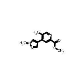 COC(=O)c1cc(-c2cnn(C)c2)c(C)cn1